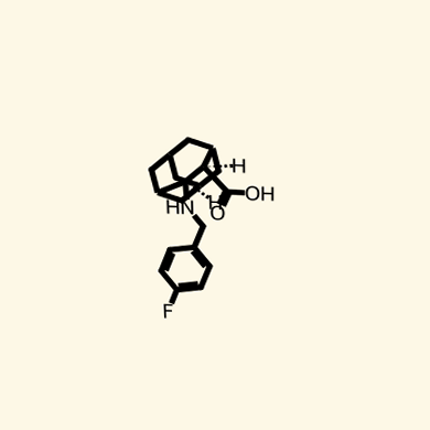 O=C(O)[C@@H]1C2CC3CC(C2)CC(C3)[C@@H]1NCc1ccc(F)cc1